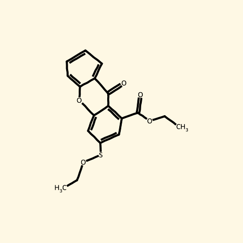 CCOSc1cc(C(=O)OCC)c2c(=O)c3ccccc3oc2c1